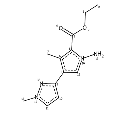 CCOC(=O)c1c(C)c(-c2ccn(C)n2)cn1N